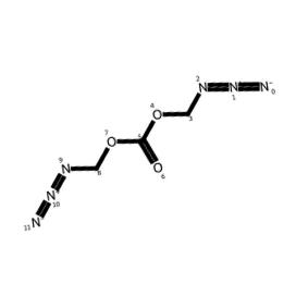 [N-]=[N+]=NCOC(=O)OCN=[N+]=[N-]